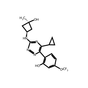 C[C@]1(O)C[C@@H](Nc2nnc(-c3ccc(OC(F)(F)F)cc3O)c(C3CC3)n2)C1